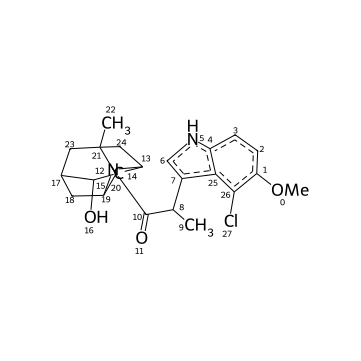 COc1ccc2[nH]cc(C(C)C(=O)N3C4CC(O)C5CC3CC(C)(C5)C4)c2c1Cl